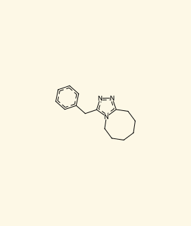 c1ccc(Cc2nnc3n2CCCCCC3)cc1